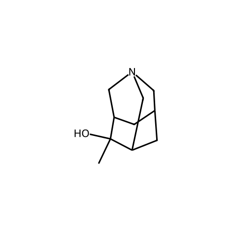 CC1(O)C2CC3CC1CN(C3)C2